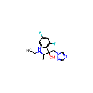 CC(NCC#N)C(O)(Cn1cncn1)c1ccc(F)cc1F